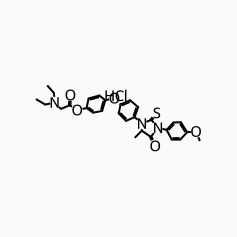 CCN(CC)CC(=O)Oc1ccc(Oc2ccc(N3C(=S)N(c4ccc(OC)cc4)C(=O)C3C)cc2)cc1.Cl